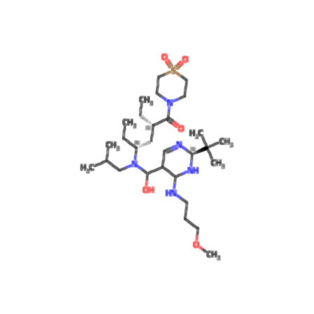 CC[C@@H](C[C@@H](CC)N(CC(C)C)C(O)C1C=N[C@@H](C(C)(C)C)NC1NCCCOC)C(=O)N1CCS(=O)(=O)CC1